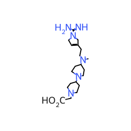 CN(CCC1=CCN(C(=N)N)C1)C1CCN(C2CCN(CC(=O)O)CC2)CC1